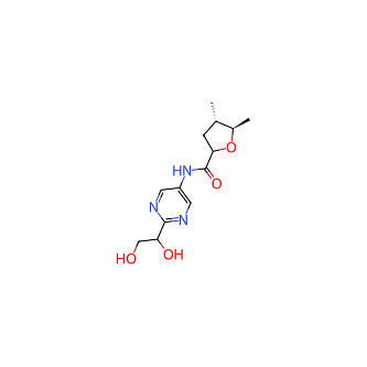 C[C@H]1CC(C(=O)Nc2cnc(C(O)CO)nc2)O[C@@H]1C